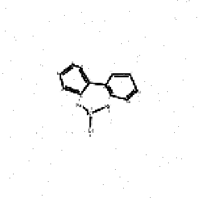 [Br][Bi]([Br])[Br].c1ccc(-c2ccccc2)cc1